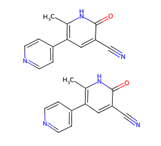 Cc1[nH]c(=O)c(C#N)cc1-c1ccncc1.Cc1[nH]c(=O)c(C#N)cc1-c1ccncc1